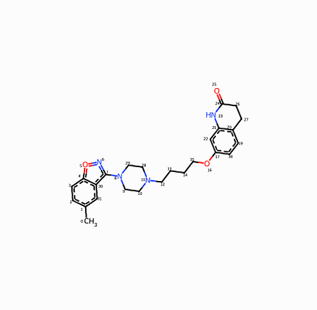 Cc1ccc2onc(N3CCN(CCCCOc4ccc5c(c4)NC(=O)CC5)CC3)c2c1